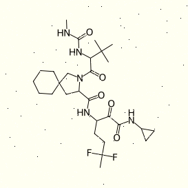 CNC(=O)NC(C(=O)N1CC2(CCCCC2)CC1C(=O)NC(CCC(C)(F)F)C(=O)C(=O)NC1CC1)C(C)(C)C